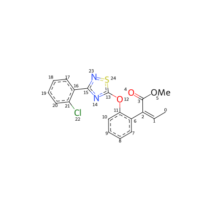 CC=C(C(=O)OC)c1ccccc1Oc1nc(-c2ccccc2Cl)ns1